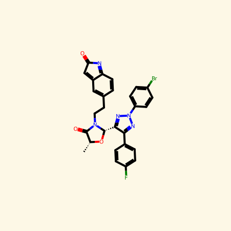 C[C@H]1O[C@@H](c2nn(-c3ccc(Br)cc3)nc2-c2ccc(F)cc2)N(CCc2ccc3c(c2)=CC(=O)N=3)C1=O